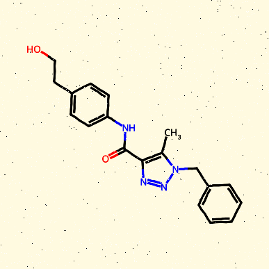 Cc1c(C(=O)Nc2ccc(CCO)cc2)nnn1Cc1ccccc1